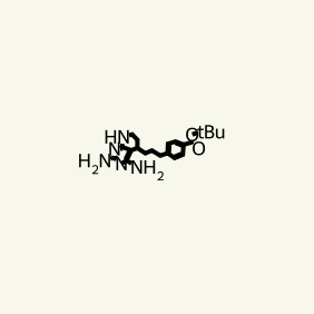 CC(C)(C)OC(=O)c1ccc(CCCC2CCNc3nc(N)nc(N)c32)cc1